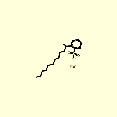 CCCCCCCCCCC(C)c1ccccc1S(=O)(=O)[O-].[Na+]